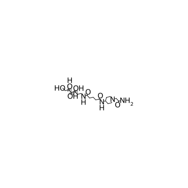 NC(=O)CN1CCC(NC(=O)CCCC(=O)NCC[C@@H](O)[C@H](O)[C@H](O)CO)CC1